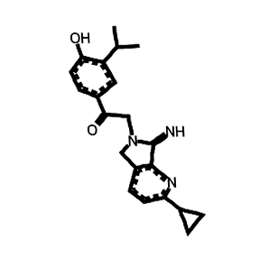 CC(C)c1cc(C(=O)CN2Cc3ccc(C4CC4)nc3C2=N)ccc1O